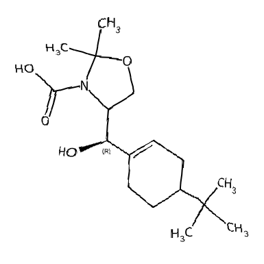 CC(C)(C)C1CC=C([C@@H](O)C2COC(C)(C)N2C(=O)O)CC1